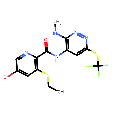 CCSc1cc(Br)cnc1C(=O)Nc1cc(SC(F)(F)F)nnc1NC